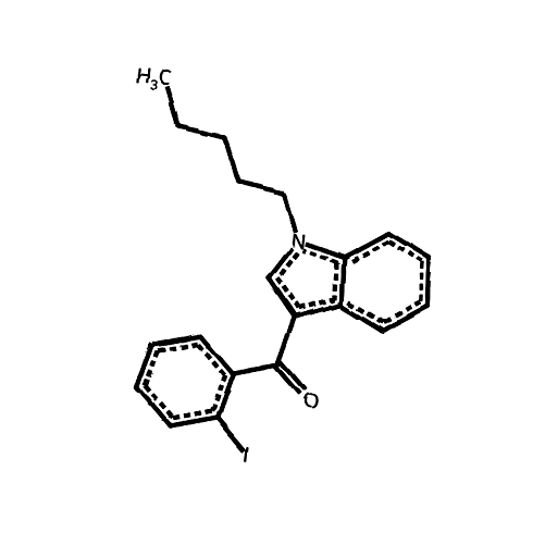 CCCCCn1cc(C(=O)c2ccccc2I)c2ccccc21